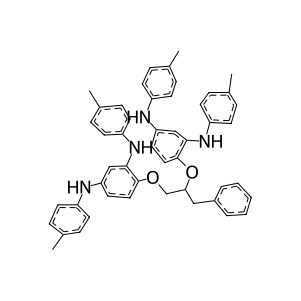 Cc1ccc(Nc2ccc(OCC(Cc3ccccc3)Oc3ccc(Nc4ccc(C)cc4)cc3Nc3ccc(C)cc3)c(Nc3ccc(C)cc3)c2)cc1